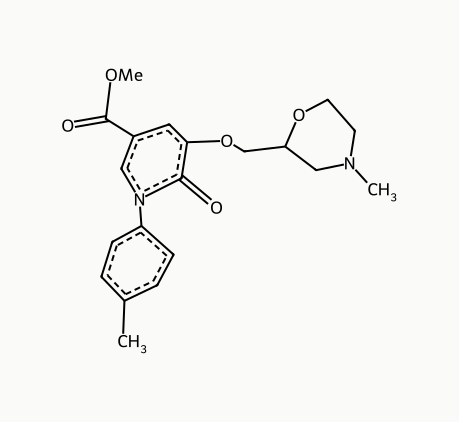 COC(=O)c1cc(OCC2CN(C)CCO2)c(=O)n(-c2ccc(C)cc2)c1